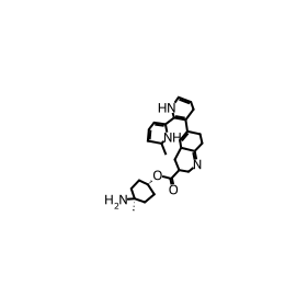 CC1C=CC=C(C2=C(C3=CC4CC(C(=O)O[C@H]5CC[C@](C)(N)CC5)CN=C4CC3)CC=CN2)N1